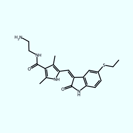 CCSc1ccc2c(c1)/C(=C/c1[nH]c(C)c(C(=O)NCCN)c1C)C(=O)N2